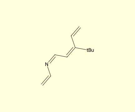 C=C/N=C\C=C(/C=C)C(C)(C)C